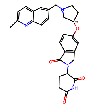 Cc1ccc2cc(CN3CC[C@H](Oc4ccc5c(c4)CN(C4CCC(=O)NC4=O)C5=O)C3)ccc2n1